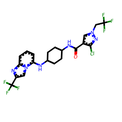 O=C(NC1CCC(Nc2cccc3nc(C(F)(F)F)cn23)CC1)c1cn(CC(F)(F)F)nc1Cl